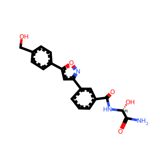 NC(=O)[C@@H](O)NC(=O)c1cccc(-c2cc(-c3ccc(CO)cc3)on2)c1